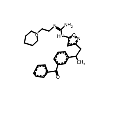 CC(Cc1cc(NC(N)=NCCN2CCCCC2)on1)c1cccc(C(=O)c2ccccc2)c1